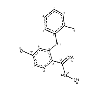 Cc1ccccc1Sc1cc(Cl)cnc1C(=N)NO